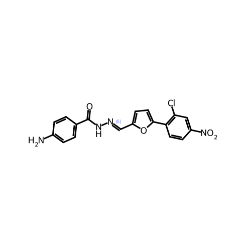 Nc1ccc(C(=O)N/N=C/c2ccc(-c3ccc([N+](=O)[O-])cc3Cl)o2)cc1